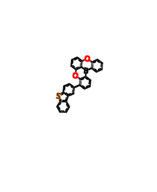 c1ccc2c(c1)Oc1cccc3c1B2c1cccc(-c2ccc4sc5ccccc5c4c2)c1O3